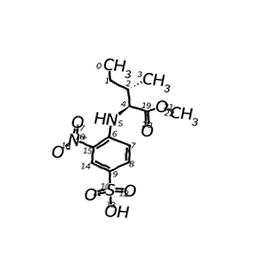 CC[C@H](C)[C@H](Nc1ccc(S(=O)(=O)O)cc1[N+](=O)[O-])C(=O)OC